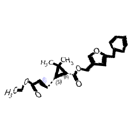 CCOC(=O)/C=C/[C@H]1[C@@H](C(=O)OCc2coc(Cc3ccccc3)c2)C1(C)C